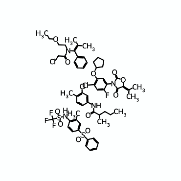 CC(C)=C1OC(=O)N(c2cc(OC3CCCC3)c(Cl)cc2F)C1=O.CCCC(C)C(=O)Nc1ccc(C)c(Cl)c1.CCOCCN(C(=O)CCl)C(=C(C)C)c1ccccc1.Cc1cc(S(=O)(=O)c2ccccc2)ccc1NS(=O)(=O)C(F)(F)F